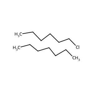 CCCCCCC.CCCCCCCl